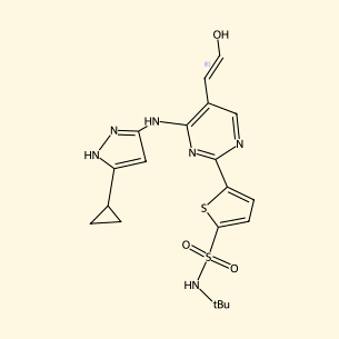 CC(C)(C)NS(=O)(=O)c1ccc(-c2ncc(/C=C/O)c(Nc3cc(C4CC4)[nH]n3)n2)s1